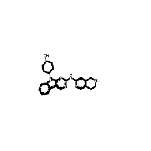 C[C@H]1CC[C@H](n2c3ccccc3c3cnc(Nc4cc5c(cn4)CCNC5)nc32)CC1